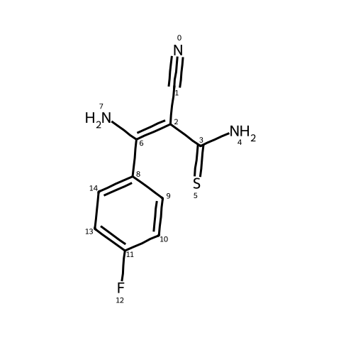 N#CC(C(N)=S)=C(N)c1ccc(F)cc1